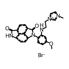 COc1ccc(N2C(=O)c3ccc4c5c(ccc2c35)NC4=O)c(NCC[n+]2ccn(C)c2)c1.[Br-]